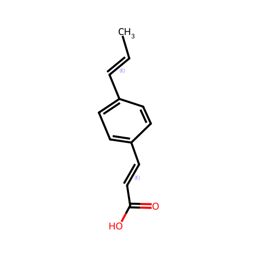 C/C=C/c1ccc(/C=C/C(=O)O)cc1